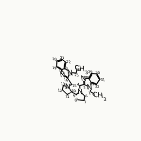 CCn1c(CN2CCC[C@@H]2[C@H]2CCCN2Cc2nc3ccccc3n2CC)nc2ccccc21